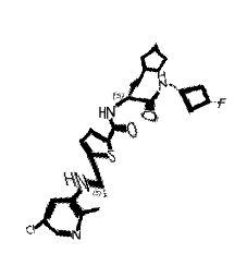 Cc1ncc(Cl)cc1N[C@@H](C)c1ccc(C(=O)N[C@@H](CC2CCCC2)C(=O)N[C@H]2C[C@@H](F)C2)s1